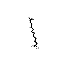 NC(=O)CCCCCCCCCCC(N)=O